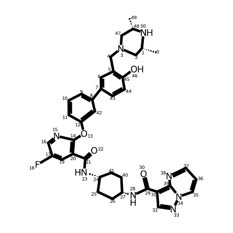 C[C@@H]1CN(Cc2cc(-c3cccc(Oc4ncc(F)cc4C(=O)N[C@H]4CC[C@@H](NC(=O)c5cnn6cccnc56)CC4)c3)ccc2O)C[C@H](C)N1